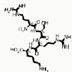 N=C(N)NCCC[C@H](NC(=O)[C@H](CO)NC(=O)[C@@H](N)CCCNC(=N)N)C(=O)N[C@@H](CCCCN)C(=O)O